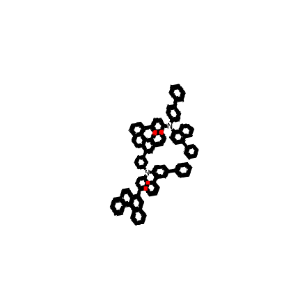 c1ccc(-c2ccc(N(c3ccc(-c4cccc5ccc6c(-c7cccc(N(c8ccc(-c9cc%10ccccc%10c%10c9ccc9ccccc9%10)cc8)c8ccc(-c9ccccc9)cc8-c8ccccc8)c7)cc7ccccc7c6c45)cc3)c3ccc(-c4ccccc4)c4ccccc34)cc2)cc1